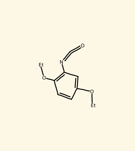 CCOc1ccc(OCC)c(N=C=O)c1